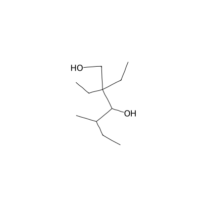 CCC(C)C(O)C(CC)(CC)CO